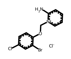 Nc1cccc[n+]1COc1ccc(Cl)cc1Br.[Cl-]